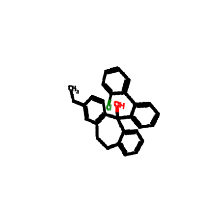 CCc1ccc2c(c1)CCc1ccccc1C2(O)c1ccccc1-c1ccccc1Cl